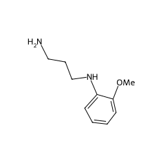 COc1ccccc1NCCCN